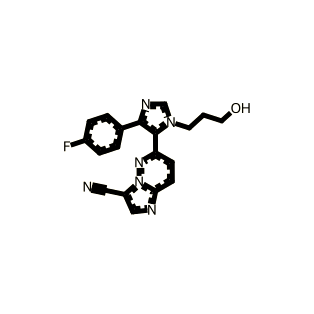 N#Cc1cnc2ccc(-c3c(-c4ccc(F)cc4)ncn3CCCO)nn12